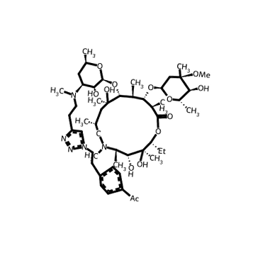 CC[C@H]1OC(=O)[C@H](C)[C@@H](O[C@H]2C[C@@](C)(OC)[C@@H](O)[C@H](C)O2)[C@H](C)[C@@H](O[C@@H]2O[C@H](C)C[C@H](N(C)CCc3cn(CCc4ccc(C(C)=O)cc4)nn3)[C@H]2O)[C@](C)(O)C[C@@H](C)CN(C)[C@H](C)[C@@H](O)[C@]1(C)O